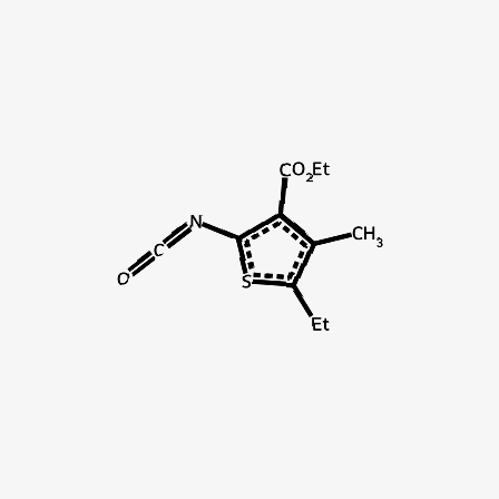 CCOC(=O)c1c(N=C=O)sc(CC)c1C